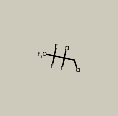 FC(F)(F)C(F)(F)C(F)(Cl)CCl